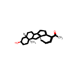 CC(=O)C1CCC[C@]23CCC4C(CC[C@H]5C[C@H](O)CC[C@]45C)C2CCC13